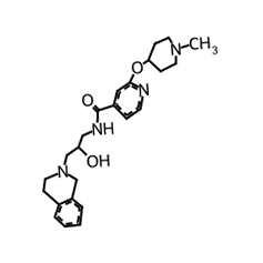 CN1CCC(Oc2cc(C(=O)NCC(O)CN3CCc4ccccc4C3)ccn2)CC1